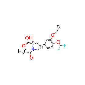 CC(=O)N1C[C@H](c2ccc(OC(F)F)c(OCC3CC3)c2)C[C@@H]1C(=O)O